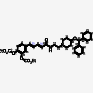 CCOC(=O)Oc1ccc(/C=C/C=C/C(=O)NCCN2CCC(OC(c3ccccc3)c3ccccc3)CC2)cc1OC(=O)OCC